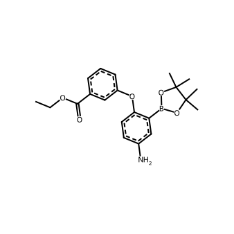 CCOC(=O)c1cccc(Oc2ccc(N)cc2B2OC(C)(C)C(C)(C)O2)c1